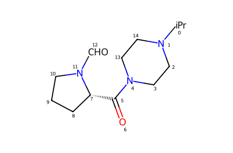 CC(C)N1CCN(C(=O)[C@@H]2CCCN2C=O)CC1